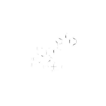 C[C@@H](OC(=O)C1CCC2C(C(=O)c3ccccc3)=CC=C12)C(NC(=O)OC(C)(C)C)C(=O)OC(C)(C)C